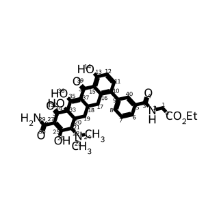 CCOC(=O)CNC(=O)c1cccc(-c2ccc(O)c3c2CC2CC4C(N(C)C)C(O)=C(C(N)=O)C(=O)C4(O)C(O)=C2C3=O)c1